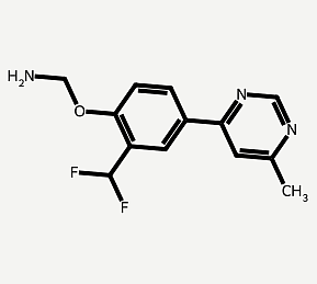 Cc1cc(-c2ccc(OCN)c(C(F)F)c2)ncn1